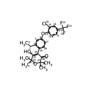 CCc1cc(Oc2ncc(C(F)(F)F)cc2Cl)ccc1C1=C(O)C(C)(C)OC(C)(C)C1=O